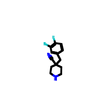 N#CC1(Cc2ccc(F)c(F)c2)CCNCC1